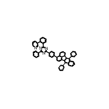 c1ccc(-c2nc(-c3ccc(-c4ccc5c6c(cccc46)-c4c-5c(-c5ccccc5)c5ccccc5c4-c4ccccc4)cc3)nc(-c3ccccc3-c3cccnc3)n2)cc1